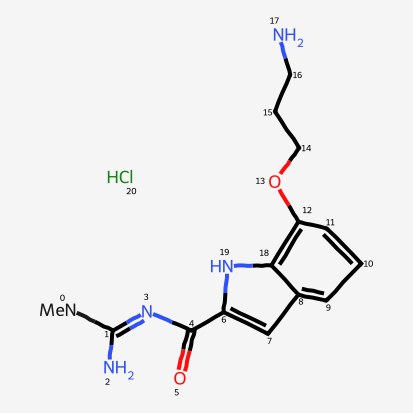 CNC(N)=NC(=O)c1cc2cccc(OCCCN)c2[nH]1.Cl